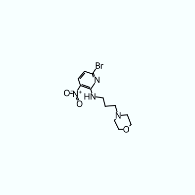 O=[N+]([O-])c1ccc(Br)nc1NCCCN1CCOCC1